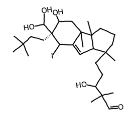 CC(C)(C)CC[C@]1(C(O)O)C(O)CC2(C)C(=CC3C(C)(CCC(O)C(C)(C)C=O)CCCC32C)C1I